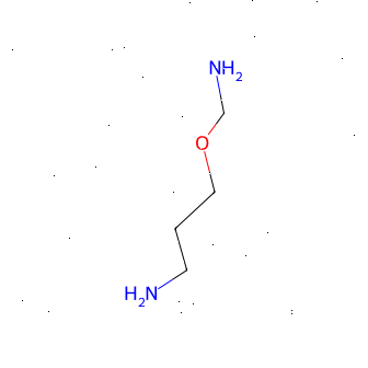 NCCCOCN